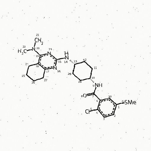 CSc1ccc(Cl)c(C(=O)N[C@H]2CC[C@@H](Nc3nc4c(c(N(C)C)n3)CCCC4)CC2)c1